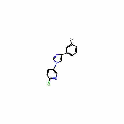 N#Cc1cccc(-c2cn(-c3ccc(Cl)nc3)cn2)c1